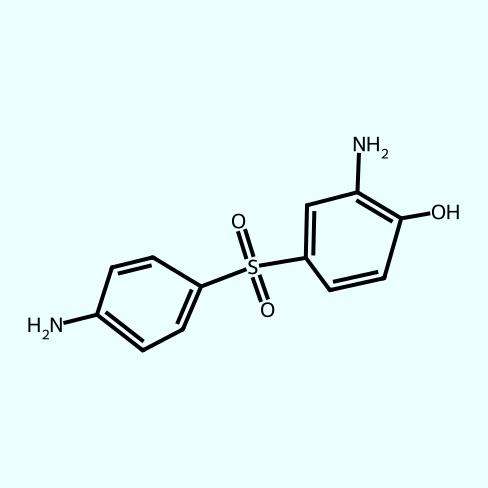 Nc1ccc(S(=O)(=O)c2ccc(O)c(N)c2)cc1